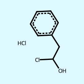 Cl.OC(Cl)Cc1ccccc1